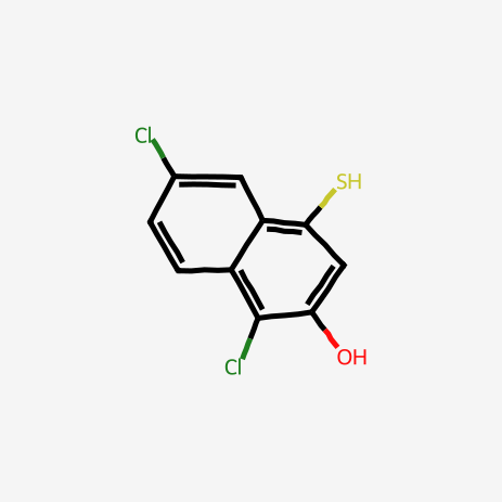 Oc1cc(S)c2cc(Cl)ccc2c1Cl